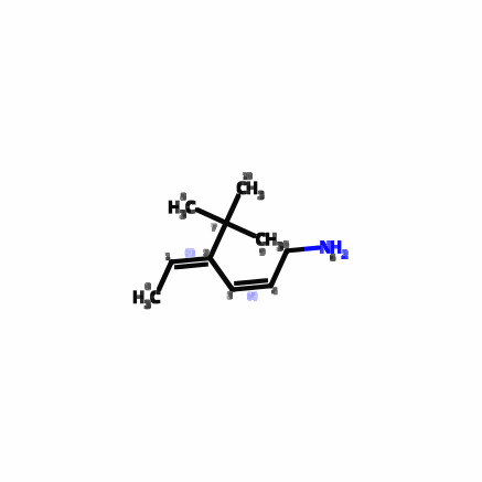 C/C=C(\C=C/CN)C(C)(C)C